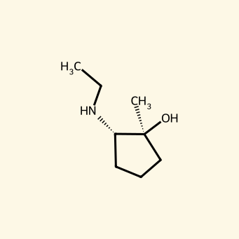 CCN[C@H]1CCC[C@]1(C)O